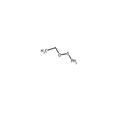 CCOSP